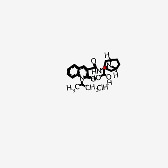 CC(C)n1c(=O)c(C(=O)N[C@@H]2C[C@H]3CC[C@@H](C2)N3CC(O)O)cc2ccccc21.Cl